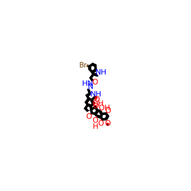 COC1=CC(=O)c2c(O)c3c(c(O)c2C1=O)C(=O)[C@]1(CCc2cc4cc(C=NNC(=O)Cc5c[nH]c6ccc(Br)cc56)[nH]c(=O)c4c(O)c21)C3=O